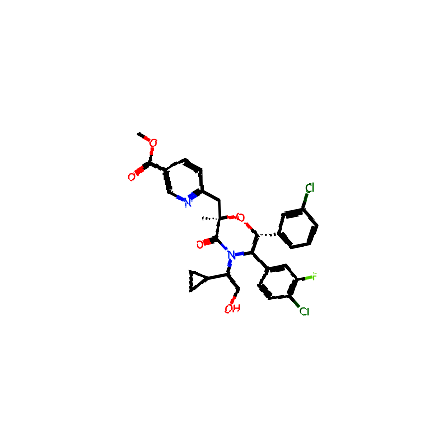 COC(=O)c1ccc(C[C@@]2(C)O[C@H](c3cccc(Cl)c3)C(c3ccc(Cl)c(F)c3)N(C(CO)C3CC3)C2=O)nc1